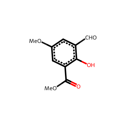 COC(=O)c1cc(OC)cc(C=O)c1O